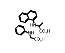 C[C@H](Nc1cccc2ccccc12)C(=O)O.O=C(O)CNc1ccccc1